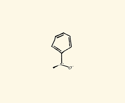 C[S@+]([O-])c1ccccc1